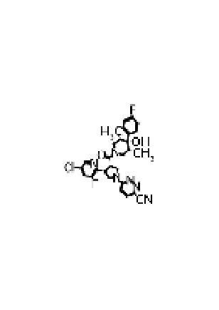 C[C@@H]1CN(C(=O)[C@@H]2CN(c3ccc(C#N)nn3)C[C@H]2c2ncc(Cl)cc2F)C[C@H](C)[C@]1(O)c1ccc(F)cc1